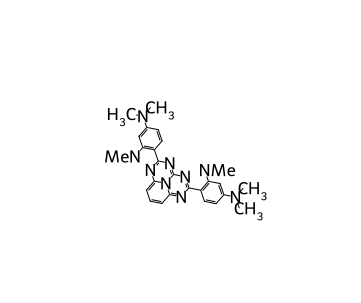 CNc1cc(N(C)C)ccc1C1=NC2=CC=CC3=NC(c4ccc(N(C)C)cc4NC)=NC(=N1)N23